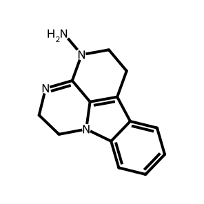 NN1CCc2c3n(c4ccccc24)CCN=C31